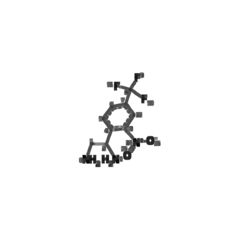 NCC(N)c1ccc(C(F)(F)F)cc1[N+](=O)[O-]